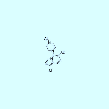 CC(=O)c1ccc2c(Cl)ncn2c1N1CCN(C(C)=O)CC1